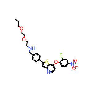 CCCOCCOCCNCc1ccc(-c2cc3nccc(Oc4ccc([N+](=O)[O-])cc4F)c3s2)cc1